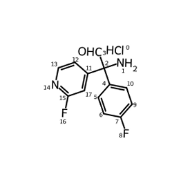 Cl.NC(C=O)(c1ccc(F)cc1)c1ccnc(F)c1